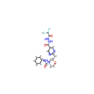 O=C(NNC(=O)C(F)F)c1cnc(CC2CN(C(=O)Nc3ccccc3)CCO2)nc1